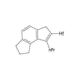 CCCC1=[C]([Hf])Cc2ccc3c(c21)CCC3